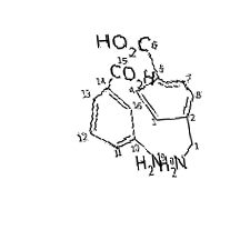 NCc1ccc(C(=O)O)cc1.Nc1cccc(C(=O)O)c1